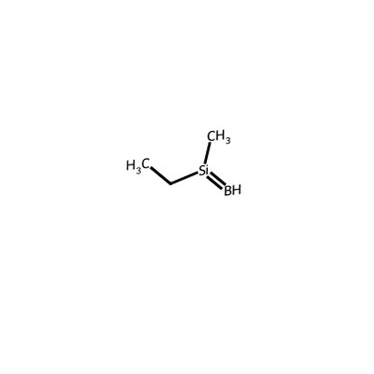 B=[Si](C)CC